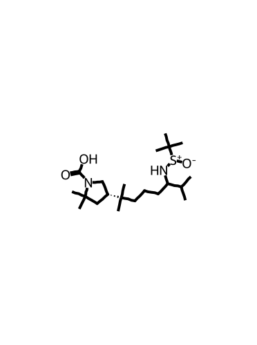 CC(C)C(CCCC(C)(C)[C@H]1CN(C(=O)O)C(C)(C)C1)N[S+]([O-])C(C)(C)C